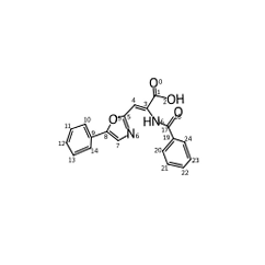 O=C(O)/C(=C/c1ncc(-c2ccccc2)o1)NC(=O)c1ccccc1